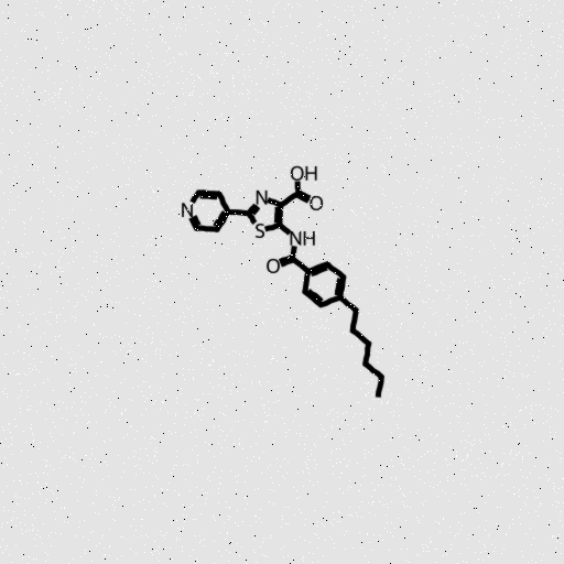 CCCCCCc1ccc(C(=O)Nc2sc(-c3ccncc3)nc2C(=O)O)cc1